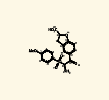 COc1ccc(S(=O)(=O)C(N)C(=O)c2ccc3c(c2)CC(C(=O)O)O3)cc1